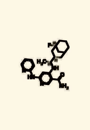 C[C@@H](Nc1cc(Nc2ccccn2)ncc1C(N)=O)[C@H]1CC2CCC[C@@](F)(C2)C1